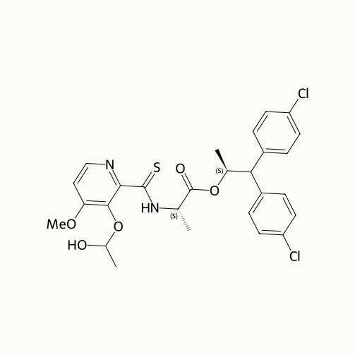 COc1ccnc(C(=S)N[C@@H](C)C(=O)O[C@@H](C)C(c2ccc(Cl)cc2)c2ccc(Cl)cc2)c1OC(C)O